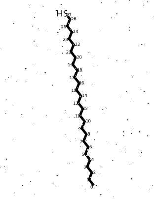 [CH2]CCCCCCCCCCCCCCCCCCCCCCCCCCS